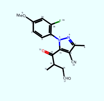 COc1ccc(-n2nc(C)c(C#N)c2C(=O)C(C)CC=O)c(F)c1